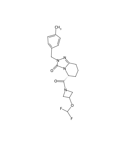 Cc1ccc(Cn2nc3n(c2=O)[C@@H](C(=O)N2CC(OC(F)F)C2)CCC3)cc1